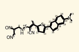 C/C(=C(/C#N)SNCC(CN=O)N=O)c1ccc(-c2ccc3cc(N(C)C)ccc3c2)s1